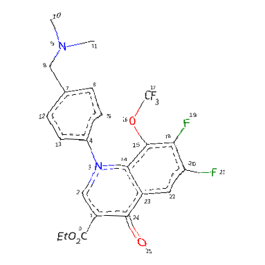 CCOC(=O)c1cn(-c2ccc(CN(C)C)cc2)c2c(OC(F)(F)F)c(F)c(F)cc2c1=O